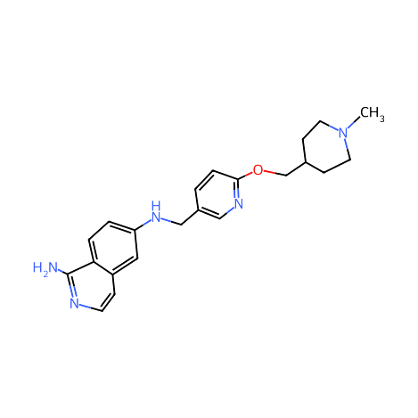 CN1CCC(COc2ccc(CNc3ccc4c(N)nccc4c3)cn2)CC1